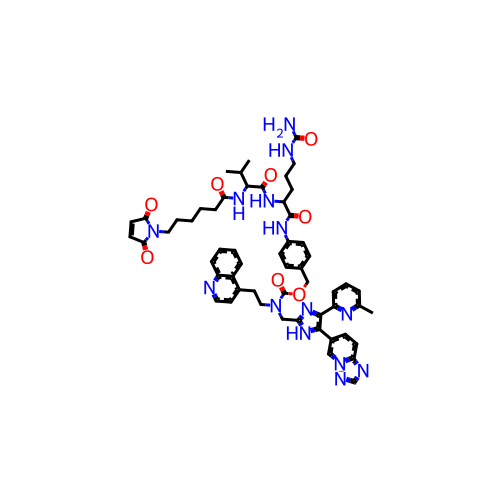 Cc1cccc(-c2nc(CN(CCc3ccnc4ccccc34)C(=O)OCc3ccc(NC(=O)C(CCCNC(N)=O)NC(=O)C(NC(=O)CCCCCN4C(=O)C=CC4=O)C(C)C)cc3)[nH]c2-c2ccc3ncnn3c2)n1